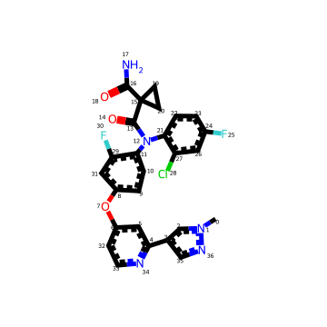 Cn1cc(-c2cc(Oc3ccc(N(C(=O)C4(C(N)=O)CC4)c4ccc(F)cc4Cl)c(F)c3)ccn2)cn1